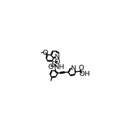 COc1ccc(S(=O)(=O)Nc2ccc(C)cc2C#Cc2ccc(C(=O)O)nc2)c2ncccc12